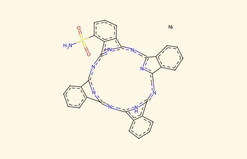 NS(=O)(=O)c1cccc2c3nc4nc(nc5[nH]c(nc6nc(nc([nH]3)c12)-c1ccccc1-6)c1ccccc51)-c1ccccc1-4.[Ni]